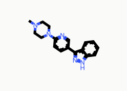 CN1CCN(c2ccc(-c3n[nH]c4ccccc34)cn2)CC1